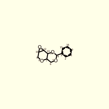 c1ccc(C2OCC3OCC4OC4C3O2)cc1